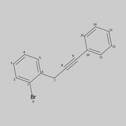 Brc1ccccc1CC#Cc1ccccc1